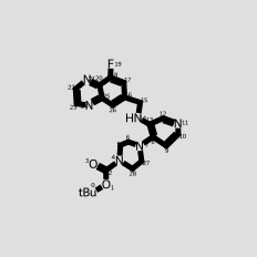 CC(C)(C)OC(=O)N1CCN(c2ccncc2NCc2cc(F)c3nccnc3c2)CC1